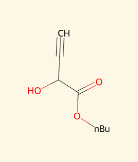 C#CC(O)C(=O)OCCCC